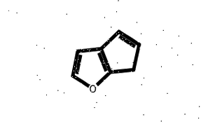 C1=Cc2ccoc2C1